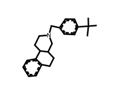 CC(C)(C)c1ccc(CN2CCC3c4ccccc4CCC3C2)cc1